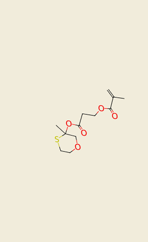 C=C(C)C(=O)OCCC(=O)OC1(C)COCCS1